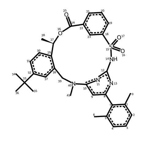 Cc1cccc(C)c1-c1cc2nc(n1)NS(=O)(=O)c1cccc(c1)C(=O)O[C@H](C)c1ccc(C(C)(C)C)cc1CN2C